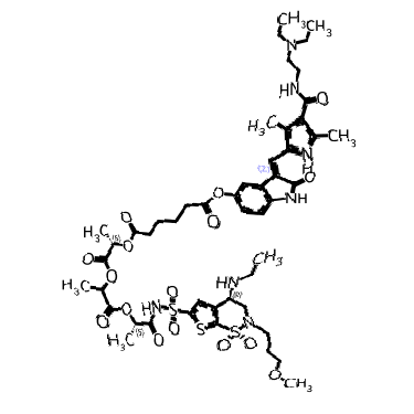 CCN[C@H]1CN(CCCOC)S(=O)(=O)c2sc(S(=O)(=O)NC(=O)[C@H](C)OC(=O)C(C)OC(=O)[C@H](C)OC(=O)CCCCC(=O)Oc3ccc4c(c3)/C(=C/c3[nH]c(C)c(C(=O)NCCN(CC)CC)c3C)C(=O)N4)cc21